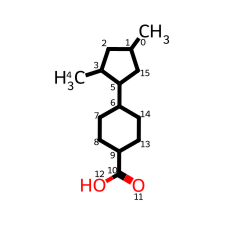 CC1CC(C)C(C2CCC(C(=O)O)CC2)C1